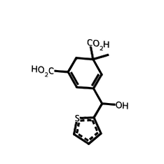 CC1(C(=O)O)C=C(C(O)c2cccs2)C=C(C(=O)O)C1